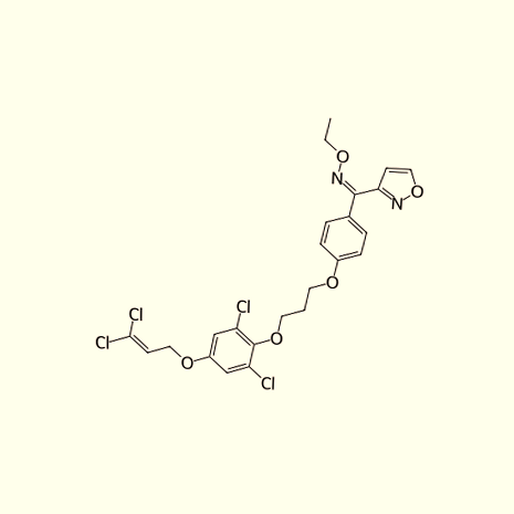 CCON=C(c1ccc(OCCCOc2c(Cl)cc(OCC=C(Cl)Cl)cc2Cl)cc1)c1ccon1